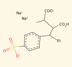 CCC(c1ccc(S(=O)(=O)[O-])cc1)C(C(=O)O)C(C)C(=O)[O-].[Na+].[Na+]